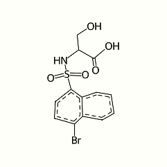 O=C(O)C(CO)NS(=O)(=O)c1ccc(Br)c2ccccc12